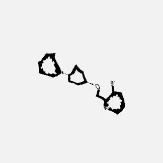 Brc1cccnc1CO[C@H]1CC[C@@H](c2ccccc2)CC1